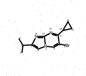 CC(C)c1cn2cc(Br)c(C3CC3)nc2n1